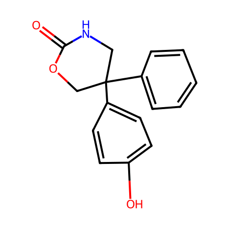 O=C1NCC(c2ccccc2)(c2ccc(O)cc2)CO1